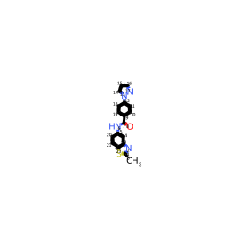 Cc1nc2cc(NC(=O)c3ccc(-n4cccn4)cc3)ccc2s1